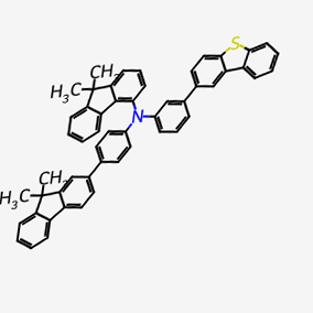 CC1(C)c2ccccc2-c2ccc(-c3ccc(N(c4cccc(-c5ccc6sc7ccccc7c6c5)c4)c4cccc5c4-c4ccccc4C5(C)C)cc3)cc21